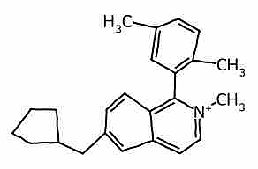 Cc1ccc(C)c(-c2c3ccc(CC4CCCC4)cc3cc[n+]2C)c1